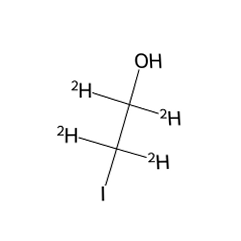 [2H]C([2H])(O)C([2H])([2H])I